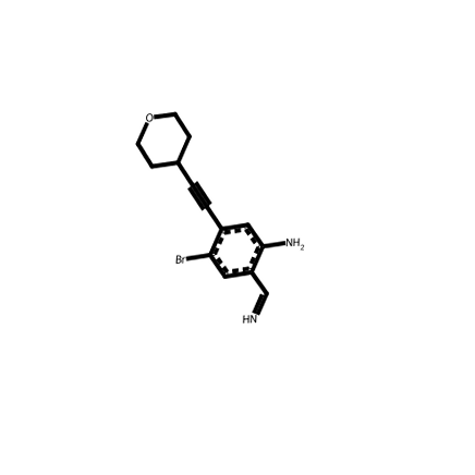 N=Cc1cc(Br)c(C#CC2CCOCC2)cc1N